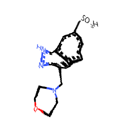 O=S(=O)(O)c1ccc2c(CN3CCOCC3)n[nH]c2c1